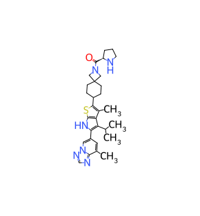 Cc1c(C2CCC3(CC2)CN(C(=O)[C@H]2CCCN2)C3)sc2[nH]c(-c3cc(C)c4ncnn4c3)c(C(C)C)c12